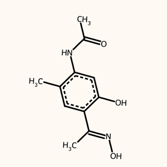 CC(=O)Nc1cc(O)c(/C(C)=N/O)cc1C